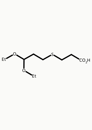 CCOC(CCSCCC(=O)O)OCC